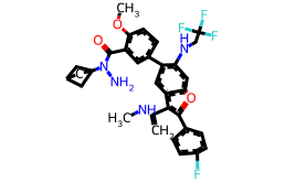 C=C(NC)c1c(-c2ccc(F)cc2)oc2cc(NCC(F)(F)F)c(-c3ccc(OC)c(C(=O)N(N)C45CC(C4)C5)c3)cc12